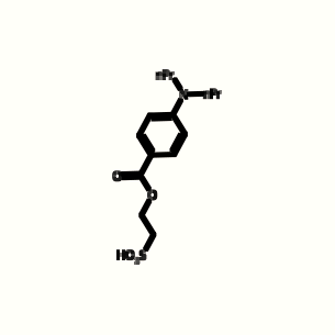 CCCN(CCC)c1ccc(C(=O)OCCS(=O)(=O)O)cc1